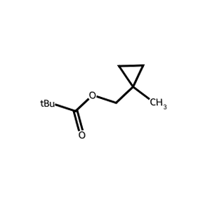 CC1(COC(=O)C(C)(C)C)CC1